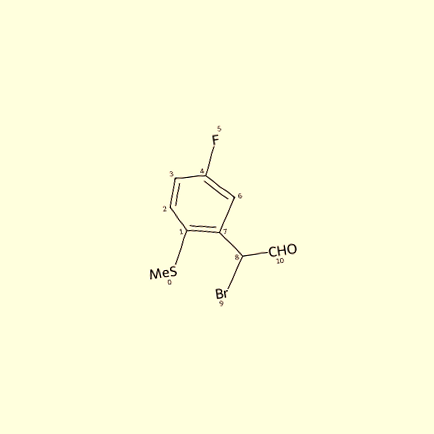 CSc1ccc(F)cc1C(Br)C=O